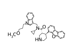 COCCCn1cc(CN(C(=O)[C@H]2CNCC[C@@H]2c2cccc3c2oc2ccccc23)C2CC2)c2ccccc21